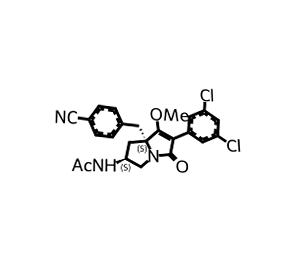 COC1=C(c2cc(Cl)cc(Cl)c2)C(=O)N2C[C@@H](NC(C)=O)C[C@@]12Cc1ccc(C#N)cc1